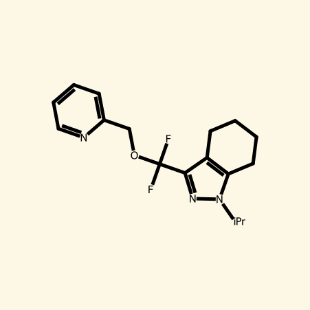 CC(C)n1nc(C(F)(F)OCc2ccccn2)c2c1CCCC2